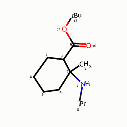 CC(C)NC1(C)CCCCC1C(=O)OC(C)(C)C